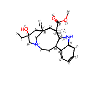 CCC1(O)C[C@H]2CN(CCC3C4=CC=CCC4NC3[C@](C)(C(=O)OC)C2)C1